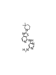 CC1(C)CCCN(c2nc3ccnc(Nc4cc(N)ncn4)c3s2)C1